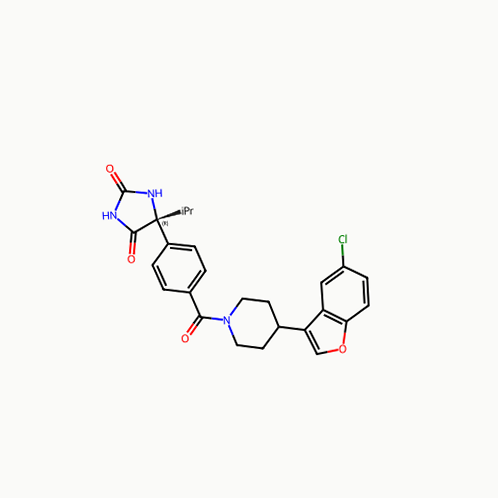 CC(C)[C@]1(c2ccc(C(=O)N3CCC(c4coc5ccc(Cl)cc45)CC3)cc2)NC(=O)NC1=O